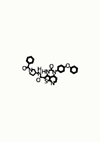 O=C(NC1CCN(C(=O)c2ccccc2)C1)c1sc2nccc3c2c1NC(=O)N3c1ccc(Oc2ccccc2)cc1